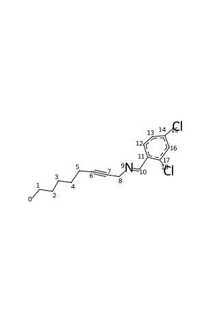 CCCCCCC#CCN=Cc1ccc(Cl)cc1Cl